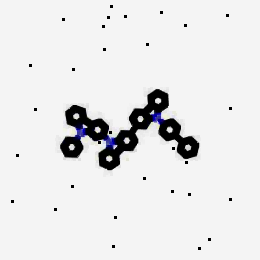 c1ccc(-c2ccc(-n3c4ccccc4c4ccc(-c5ccc6c7ccccc7n(-c7ccc8c9ccccc9n(-c9ccccc9)c8c7)c6c5)cc43)cc2)cc1